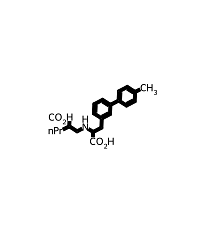 CCCC(CNC(Cc1cccc(-c2ccc(C)cc2)c1)C(=O)O)C(=O)O